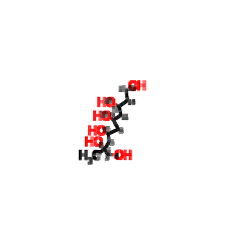 CC(O)(CO)CC(O)CC(O)CC(O)CCO